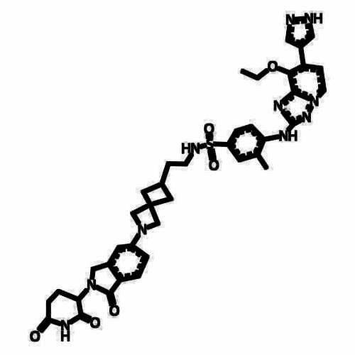 CCOc1c(-c2cn[nH]c2)ccn2nc(Nc3ccc(S(=O)(=O)NCCC4CC5(C4)CN(c4ccc6c(c4)CN(C4CCC(=O)NC4=O)C6=O)C5)cc3C)nc12